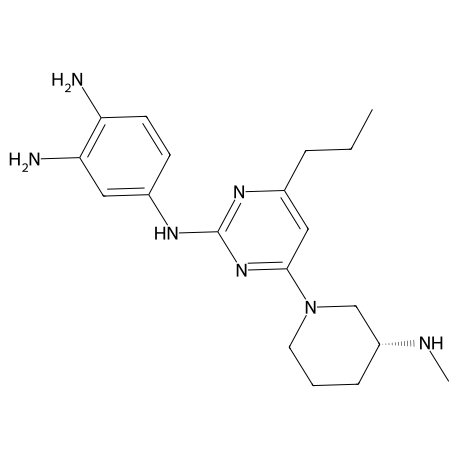 CCCc1cc(N2CCC[C@@H](NC)C2)nc(Nc2ccc(N)c(N)c2)n1